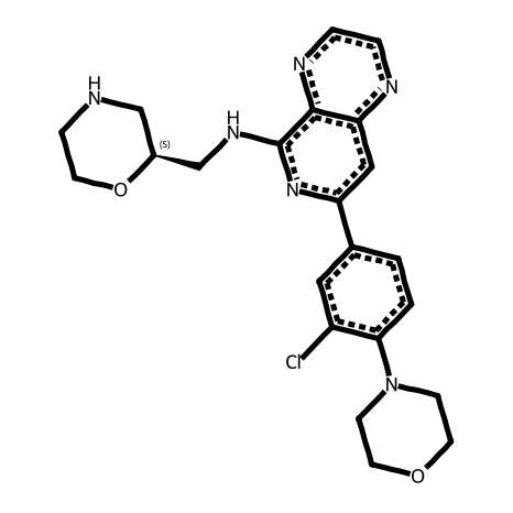 Clc1cc(-c2cc3nccnc3c(NC[C@@H]3CNCCO3)n2)ccc1N1CCOCC1